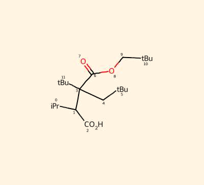 CC(C)C(C(=O)O)C(CC(C)(C)C)(C(=O)OCC(C)(C)C)C(C)(C)C